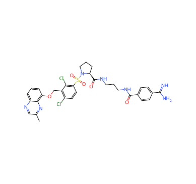 Cc1cnc2cccc(OCc3c(Cl)ccc(S(=O)(=O)N4CCC[C@H]4C(=O)NCCCNC(=O)c4ccc(C(=N)N)cc4)c3Cl)c2n1